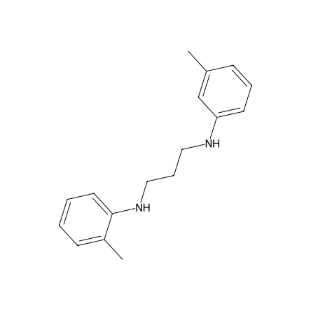 Cc1cccc(NCCCNc2ccccc2C)c1